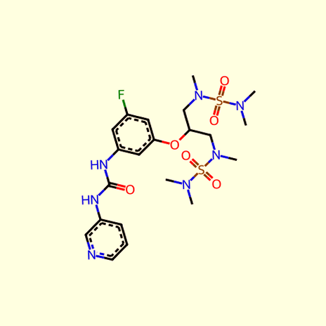 CN(C)S(=O)(=O)N(C)CC(CN(C)S(=O)(=O)N(C)C)Oc1cc(F)cc(NC(=O)Nc2cccnc2)c1